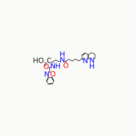 O=C(CCCCc1ccc2c(n1)NCCC2)NCCC(NC(=O)c1nc2ccccc2o1)C(=O)O